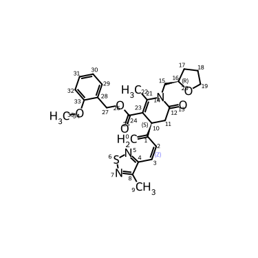 C=C(/C=C\c1nsnc1C)[C@@H]1CC(=O)N(C[C@H]2CCCO2)C(C)=C1C(=O)OCc1ccccc1OC